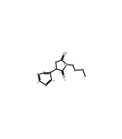 CCCCN1C(=O)CC(c2ccccc2)C1=O